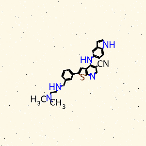 CN(C)CCNCc1cccc(-c2cc3c(Nc4ccc5[nH]ccc5c4)c(C#N)cnc3s2)c1